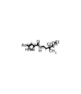 CCOC[C@](C)(CCNC(=O)c1cc(C(C)=O)[nH]n1)C(=O)O